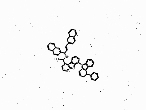 NC(NC(/C=C/C1=CC=C2C=CC=CC2C1)C1=CC2C=CC=CC2C=C1)c1cccc2oc3c(-n4c5c(c6ccccc64)C(c4ccccc4)CC=C5)cccc3c12